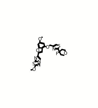 COc1cc(OCc2csc(C3(F)CCOCC3)n2)c2cc(-c3cn4nc(OC)sc4n3)oc2c1